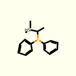 CC([SiH](C)C)P(c1ccccc1)c1ccccc1